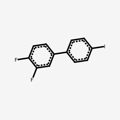 Fc1ccc(-c2ccc(I)cc2)cc1F